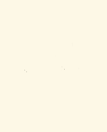 CCc1ccc(C#N)c(CC)c1N(CCl)C(=O)CCl